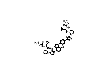 COC(=O)N[C@H](C(=O)N1CCC[C@H]1c1ncc(-c2ccc3c(c2)Oc2ccc(-c4cnc([C@@H]5CCCN5C(=O)[C@@H](NC(=O)OC)C5CC5)[nH]4)c4ccn-3c24)[nH]1)C1CC1